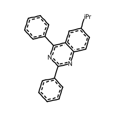 CC(C)c1ccc2nc(-c3ccccc3)nc(-c3ccccc3)c2c1